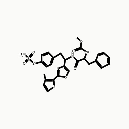 COC(=O)NC(Cc1ccccc1)C(=O)NC(Cc1ccc(OS(N)(=O)=O)cc1)c1csc(-c2sccc2C)n1